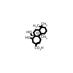 CC1(C)CCC[C@@]2(C)C1CC[C@@]1(CO)C(O)CC(C(=O)O)=CC[C@@H]12